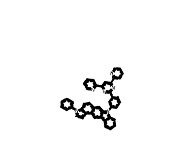 c1ccc(-n2ccc3c4cc5c6ccccc6n(-c6cccc(-c7nc(-c8ccccn8)cc(-c8ccccn8)n7)c6)c5cc4ccc32)cc1